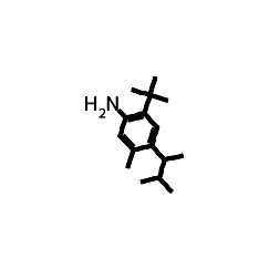 Cc1cc(N)c(C(C)(C)C)cc1C(C)C(C)C